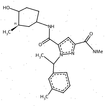 CNC(=O)c1cc(C(=O)NC2CCC(O)[C@H](C)C2)n(C(C)c2cccc(C)c2)n1